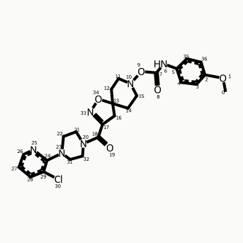 COc1ccc(NC(=O)ON2CCC3(CC2)CC(C(=O)N2CCN(c4ncccc4Cl)CC2)=NO3)cc1